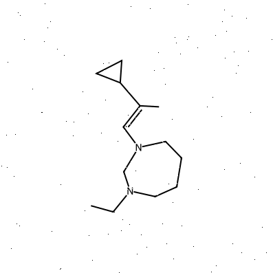 CCN1CCCCN(/C=C(\C)C2CC2)C1